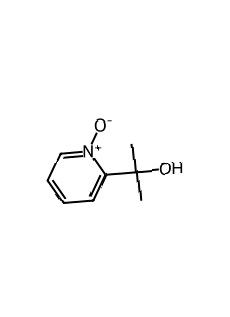 CC(C)(O)c1cccc[n+]1[O-]